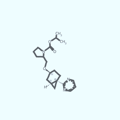 CC(C)OC(=O)N1CCCC1CO[C@H]1CC[C@@]2(c3ncccn3)C[C@H]2C1